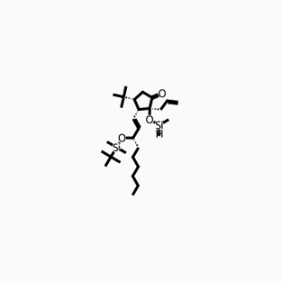 C=CC[C@@]1(O[SiH](C)C)C(=O)C[C@@H](C(C)(C)C)[C@H]1C=C[C@H](CCCCCC)O[Si](C)(C)C(C)(C)C